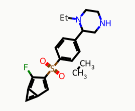 CC.CCN1CCNCC1c1ccc(S(=O)(=O)c2cc3cc-3c2F)cc1